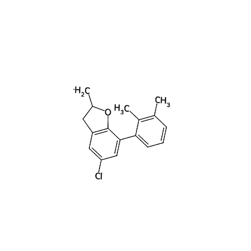 [CH2]C1Cc2cc(Cl)cc(-c3cccc(C)c3C)c2O1